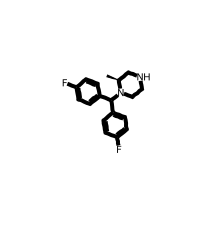 C[C@H]1CNCCN1C(c1ccc(F)cc1)c1ccc(F)cc1